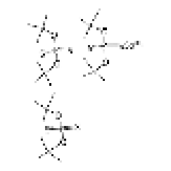 CC(C)(C)OP(=S)([S-])OC(C)(C)C.CC(C)(C)OP(=S)([S-])OC(C)(C)C.CC(C)(C)OP(=S)([S-])OC(C)(C)C.[Sb+3]